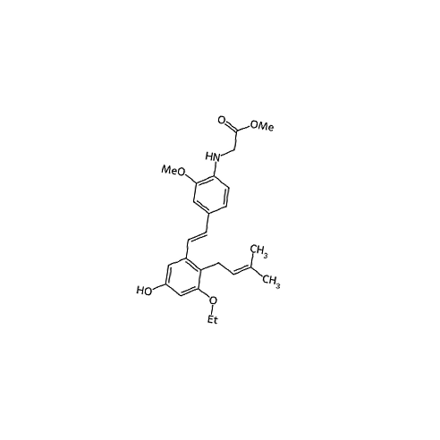 CCOc1cc(O)cc(/C=C/c2ccc(NCC(=O)OC)c(OC)c2)c1CC=C(C)C